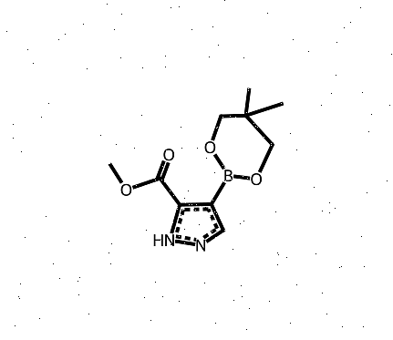 COC(=O)c1[nH]ncc1B1OCC(C)(C)CO1